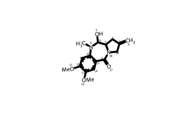 C=C1CC2C(O)N(C)c3cc(OC)c(OC)cc3C(=O)N2C1